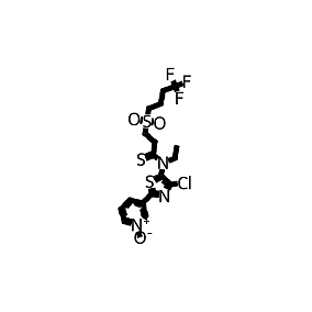 CCN(C(=S)CCS(=O)(=O)CCCC(F)(F)F)c1sc(-c2ccc[n+]([O-])c2)nc1Cl